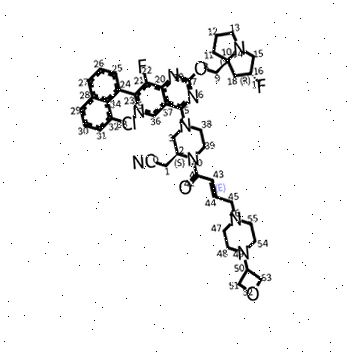 N#CC[C@H]1CN(c2nc(OC[C@@]34CCCN3C[C@H](F)C4)nc3c(F)c(-c4cccc5cccc(Cl)c45)ncc23)CCN1C(=O)/C=C/CN1CCN(C2COC2)CC1